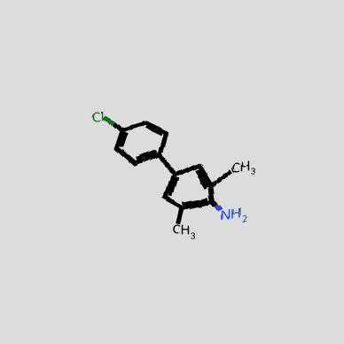 Cc1cc(-c2ccc(Cl)cc2)cc(C)c1N